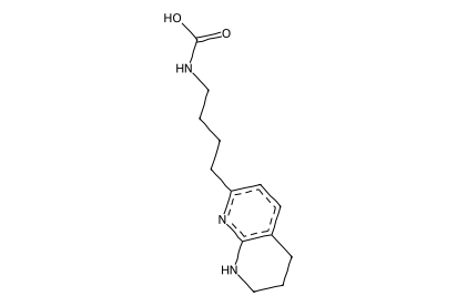 O=C(O)NCCCCc1ccc2c(n1)NCCC2